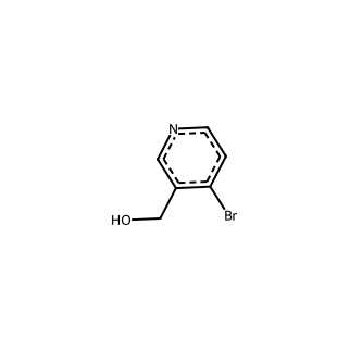 OCc1cnccc1Br